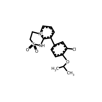 CC(C)Oc1ccc(-c2ccc[n+]3c2NS(=O)(=O)CC3)cc1Cl